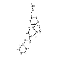 OCCN1CCC2(CC1)COc1cc(OCc3ccccc3)ccc12